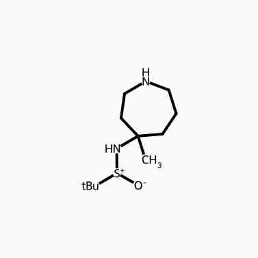 CC1(N[S+]([O-])C(C)(C)C)CCCNCC1